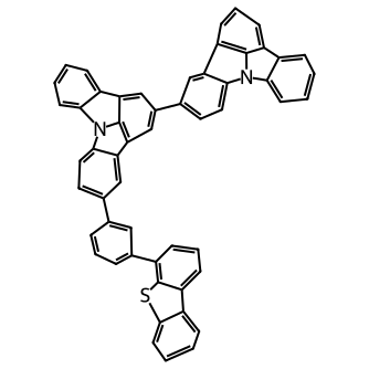 c1cc(-c2ccc3c(c2)c2cc(-c4ccc5c(c4)c4cccc6c7ccccc7n5c64)cc4c5ccccc5n3c42)cc(-c2cccc3c2sc2ccccc23)c1